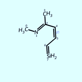 CN=C(C)/C=C\C=[SiH2]